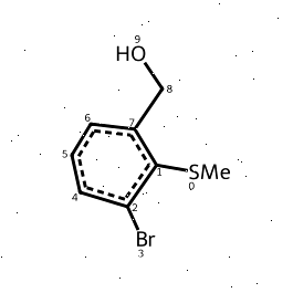 CSc1c(Br)cccc1CO